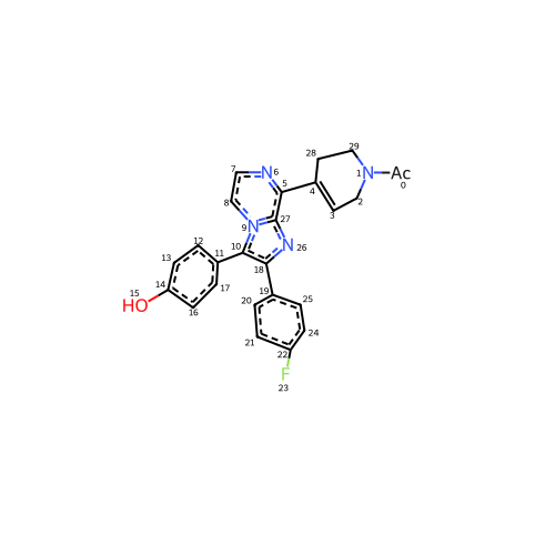 CC(=O)N1CC=C(c2nccn3c(-c4ccc(O)cc4)c(-c4ccc(F)cc4)nc23)CC1